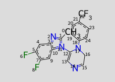 Cc1nc2cc(F)c(F)cc2n1C1=CN=CCN1c1ccc(C(F)(F)F)cc1